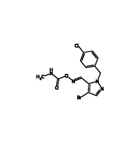 CNC(=O)ON=Cc1c(Br)cnn1Cc1ccc(Cl)cc1